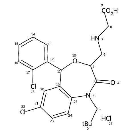 CC(C)(C)CN1C(=O)C(CNCC(=O)O)OC(c2ccccc2Cl)c2cc(Cl)ccc21.Cl